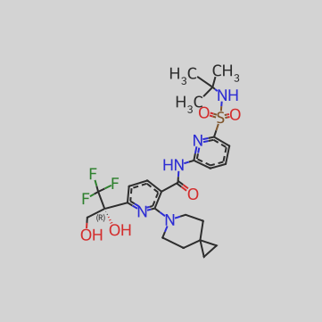 CC(C)(C)NS(=O)(=O)c1cccc(NC(=O)c2ccc([C@@](O)(CO)C(F)(F)F)nc2N2CCC3(CC2)CC3)n1